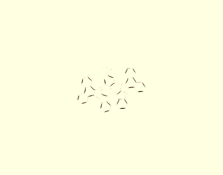 C[Si](C)(C)c1cc2c3c(c1)-n1c4c5ccccc5c5ccccc5c4n4c5ccccc5c(c14)B3c1c3ccccc3n3c4c5ccccc5c5ccccc5c4n-2c13